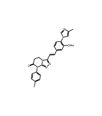 COc1cc(C=Cc2nnc3n2CCC(=O)N3c2ccc(F)cc2)ccc1-n1cnc(C)c1